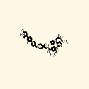 COc1cc(C(=O)NCC2CC23CCN(CC2CCN(c4ccc(C5CCC(=O)NC5=O)cc4F)CC2)CC3)ccc1Nc1ncc2c(n1)N(C1CCCC1)CC(F)(F)C(=O)N2C